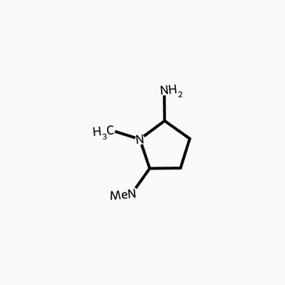 CNC1CCC(N)N1C